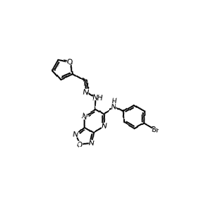 Brc1ccc(Nc2nc3nonc3nc2NN=Cc2ccco2)cc1